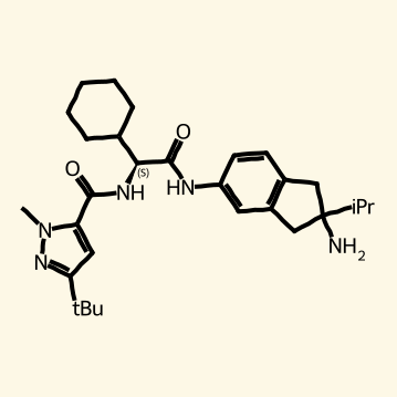 CC(C)C1(N)Cc2ccc(NC(=O)[C@@H](NC(=O)c3cc(C(C)(C)C)nn3C)C3CCCCC3)cc2C1